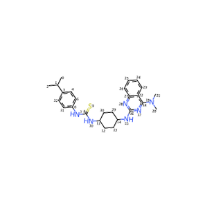 CC(C)c1ccc(NC(=S)NC2CCC(Nc3nc(N(C)C)c4ccccc4n3)CC2)cc1